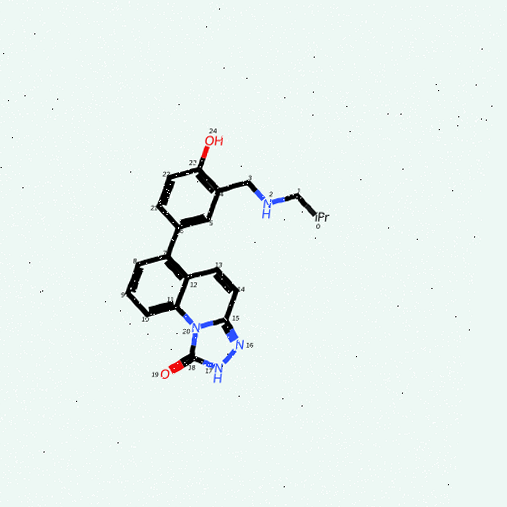 CC(C)CNCc1cc(-c2cccc3c2ccc2n[nH]c(=O)n23)ccc1O